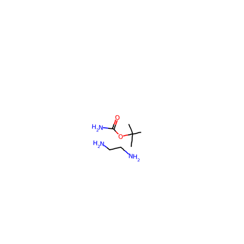 CC(C)(C)OC(N)=O.NCCN